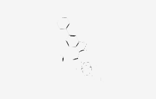 CN1C[C@@H]2C[C@H]1CN2C(=O)c1n[nH]c2cc(C3=CCOCC3)ccc12.O=CO